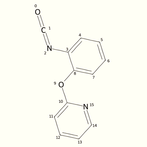 O=C=Nc1ccccc1Oc1ccccn1